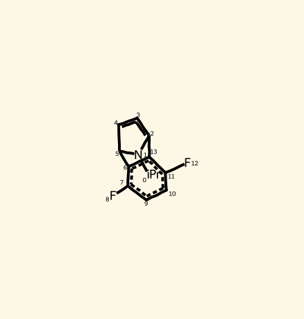 CC(C)N1C2=C=CC1c1c(F)ccc(F)c12